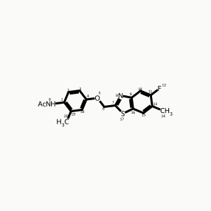 CC(=O)Nc1ccc(OCc2nc3cc(F)c(C)cc3s2)cc1C